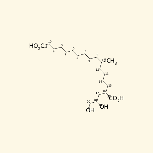 CC(CCCCCCCCCC(=O)O)CCCCC(CC(O)CO)C(=O)O